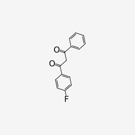 O=C(CC(=O)c1ccc(F)cc1)c1ccccc1